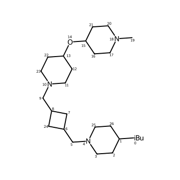 CCC(C)C1CCN(CC2CC(CN3CCC(OC4CCN(C)CC4)CC3)C2)CC1